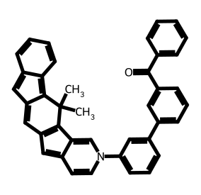 CC1(C)C2=c3ccccc3=CC2=Cc2cc3ccn(-c4cccc(-c5cccc(C(=O)c6ccccc6)c5)c4)cc-3c21